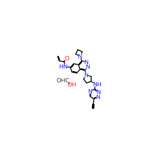 C#Cc1cnc(NC2CCN(c3nnc(N4CCC4)c4cc(NC(=O)C=C)ccc34)C2)nn1.O=CO